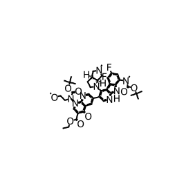 CCOC(=O)c1cn(N(CCOC)C(=O)OC(C)(C)C)c2ncc(-c3cnc4[nH]c5c(N(C)C(=O)OC(C)(C)C)cc(F)c(F)c5c4c3N3CC[C@H]4CN(C)C[C@H]43)cc2c1=O